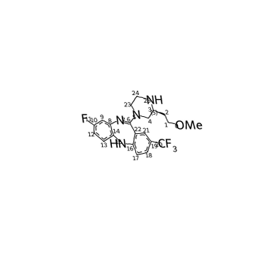 COCC[C@H]1CN(C2=Nc3cc(F)ccc3Nc3ccc(C(F)(F)F)cc32)CCN1